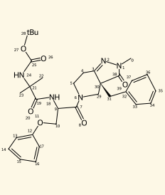 CN1N=C2CCN(C(=O)C(COc3ccccc3)NC(=O)C(C)(C)NC(=O)OC(C)(C)C)C[C@@]2(Cc2ccccc2)C1=O